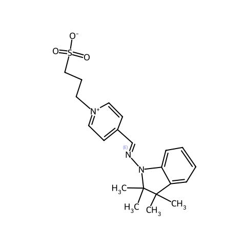 CC1(C)c2ccccc2N(/N=C/c2cc[n+](CCCS(=O)(=O)[O-])cc2)C1(C)C